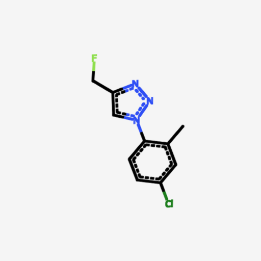 Cc1cc(Cl)ccc1-n1cc(CF)nn1